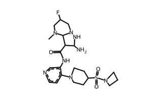 CN1CC(F)CN2NC(N)C(C(=O)Nc3cnccc3N3CCC(S(=O)(=O)N4CCC4)CC3)C12